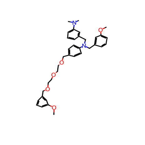 COc1cccc(COCCOCCOCc2ccc(N(Cc3cccc(OC)c3)Cc3cccc(N(C)C)c3)cc2)c1